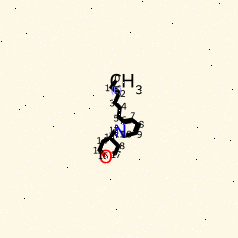 C/C=C/CCCC1=CC=CCN1CC1CCOCC1